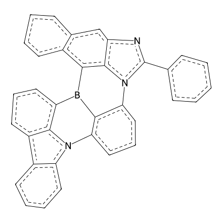 c1ccc(-c2nc3cc4ccccc4c4c3n2-c2cccc3c2B4c2cccc4c5ccccc5n-3c24)cc1